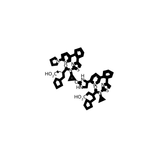 O=C(O)CC(CC1CCCC1)C(=O)N(c1nc(-c2ccccc2-c2ccc(C3CNC(=O)N3)nc2)cs1)C1CC1.O=C(O)C[C@@H](CC1CCCC1)C(=O)N(c1nc(-c2ccccc2-c2ccc(N3CCCC3)nc2)cs1)C1CC1